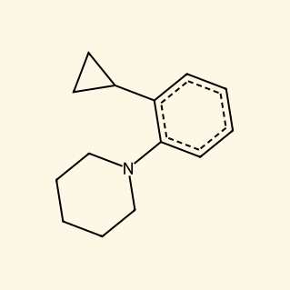 c1ccc(N2CCCCC2)c(C2CC2)c1